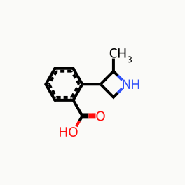 CC1NCC1c1ccccc1C(=O)O